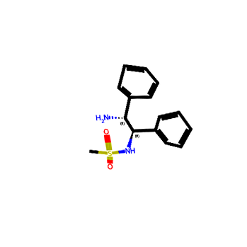 CS(=O)(=O)N[C@H](c1ccccc1)[C@H](N)c1ccccc1